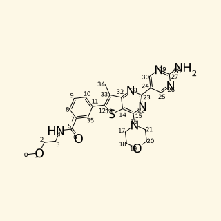 COCCNC(=O)c1cccc(-c2sc3c(N4CCOCC4)nc(-c4cnc(N)nc4)nc3c2C)c1